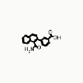 NC(=O)c1c(-c2cccc(C(=O)O)c2)ccc2ccccc12